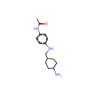 CC(=O)Nc1ccc(NCC2CCC(N)CC2)cc1